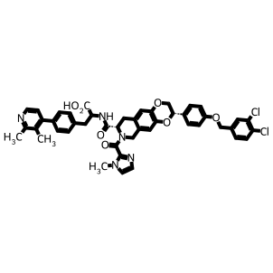 Cc1nccc(-c2ccc(CC(NC(=O)[C@@H]3Cc4cc5c(cc4CN3C(=O)c3nccn3C)O[C@@H](c3ccc(OCc4ccc(Cl)c(Cl)c4)cc3)CO5)C(=O)O)cc2)c1C